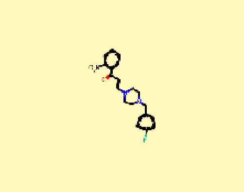 O=C(C=CN1CCN(Cc2ccc(F)cc2)CC1)c1ccccc1[N+](=O)[O-]